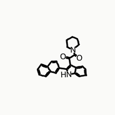 O=C(C(=O)N1CCCCC1)c1c(-c2ccc3ccccc3c2)[nH]c2ccccc12